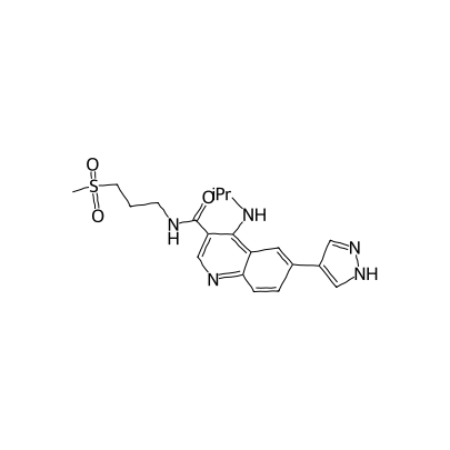 CC(C)Nc1c(C(=O)NCCCS(C)(=O)=O)cnc2ccc(-c3cn[nH]c3)cc12